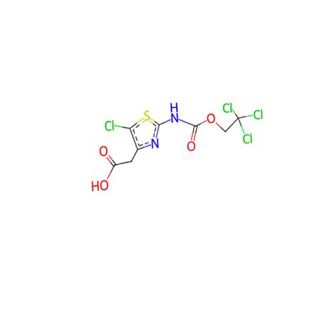 O=C(O)Cc1nc(NC(=O)OCC(Cl)(Cl)Cl)sc1Cl